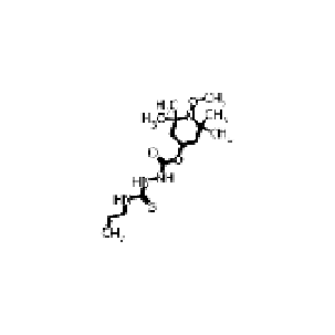 C=CCNC(=S)NNC(=O)OC1CC(C)(C)N(OC)C(C)(C)C1